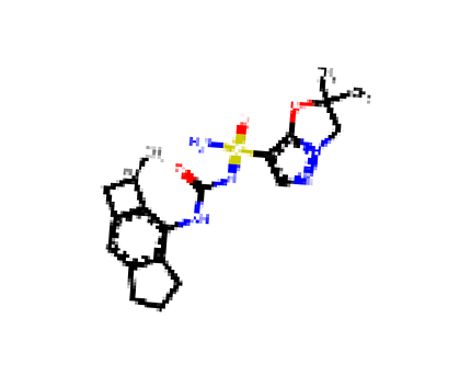 C[C@@H]1Cc2cc3c(c(NC(=O)N=S(N)(=O)c4cnn5c4OC(C)(C)C5)c21)CCC3